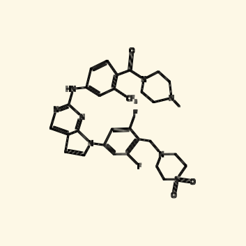 CN1CCN(C(=O)c2ccc(Nc3ncc4ccn(-c5cc(F)c(CN6CCS(=O)(=O)CC6)c(F)c5)c4n3)cc2C(F)(F)F)CC1